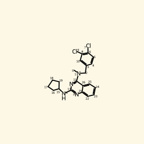 CN(Cc1ccc(Cl)c(Cl)c1)c1nc(NC2CCCC2)nc2ccccc12